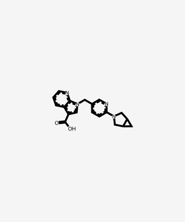 O=C(O)c1cn(Cc2ccc(N3CC4CC4C3)nc2)c2ncccc12